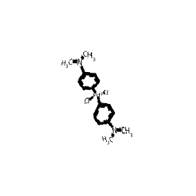 CN(C)c1cc[c]([Pd-2]([Cl])([Cl])[c]2ccc(N(C)C)cc2)cc1